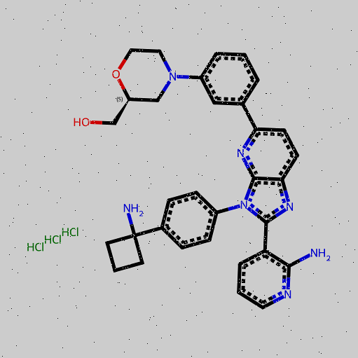 Cl.Cl.Cl.Nc1ncccc1-c1nc2ccc(-c3cccc(N4CCO[C@H](CO)C4)c3)nc2n1-c1ccc(C2(N)CCC2)cc1